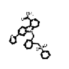 NC(=O)c1cccc2c1c1[c]cc(-c3ccco3)cc1n2Cc1ccccc1CS(=O)(=O)c1ccccc1